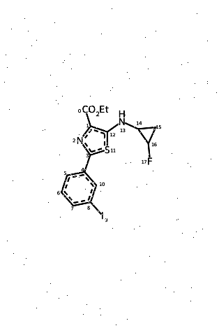 CCOC(=O)c1nc(-c2cccc(I)c2)sc1NC1CC1F